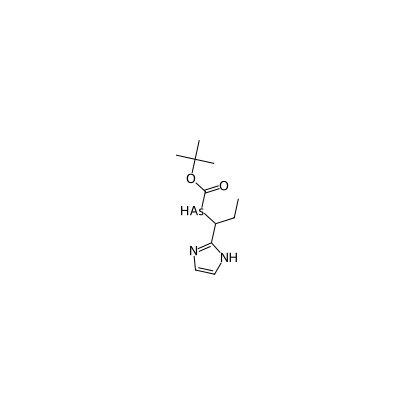 CCC([AsH]C(=O)OC(C)(C)C)c1ncc[nH]1